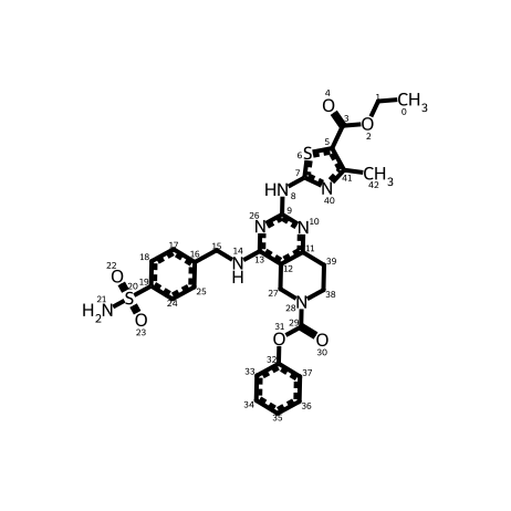 CCOC(=O)c1sc(Nc2nc3c(c(NCc4ccc(S(N)(=O)=O)cc4)n2)CN(C(=O)Oc2ccccc2)CC3)nc1C